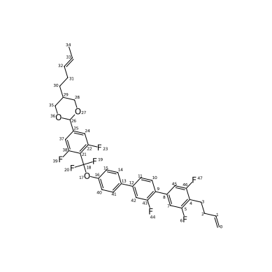 C=CCCc1c(F)cc(-c2ccc(-c3ccc(OC(F)(F)c4c(F)cc(C5OCC(CC/C=C/C)CO5)cc4F)cc3)cc2F)cc1F